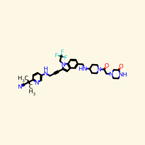 CC(C)(C#N)c1ccc(NCC#Cc2cc3cc(CNC4CCN(C(=O)CN5CCNC(=O)C5)CC4)ccc3n2CC(F)(F)F)cn1